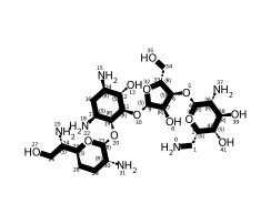 NC[C@@H]1O[C@H](O[C@H]2[C@@H](O)[C@H](O[C@@H]3[C@@H](O)[C@H](N)C[C@H](N)[C@H]3O[C@H]3O[C@H]([C@@H](N)CO)CC[C@H]3N)O[C@@H]2CO)[C@H](N)[C@@H](O)[C@@H]1O